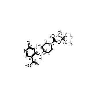 CC(C)(C)OC(=O)N1CC[C@H](Nc2cc(Cl)ncc2C(=O)O)[C@H](F)C1